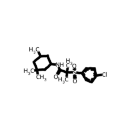 CC1CC(NC(=O)C(C)(C)S(=O)(=O)c2ccc(Cl)cc2)CC(C)(C)C1